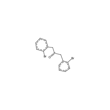 O=[P](Cc1ccccc1Br)Cc1ccccc1Br